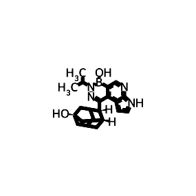 CC(C)N1N=C([C@@H]2C3CC4C[C@@H]2C[C@@](O)(C4)C3)c2c(cnc3[nH]ccc23)B1O